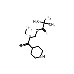 CC[C@H](COC(=O)C(C)(C)C)C(=N)C1CCNCC1